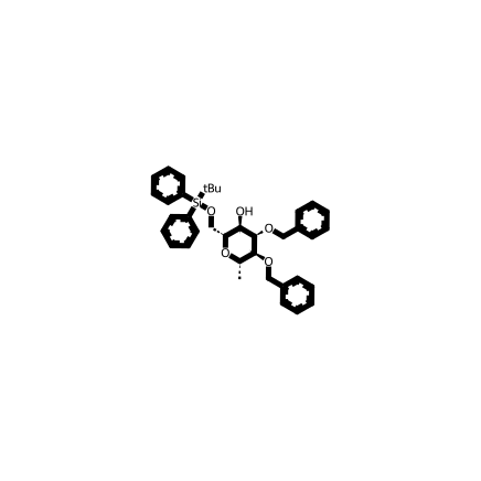 C[C@@H]1O[C@H](CO[Si](c2ccccc2)(c2ccccc2)C(C)(C)C)[C@@H](O)[C@H](OCc2ccccc2)[C@H]1OCc1ccccc1